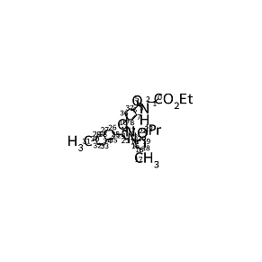 CCOC(=O)CCNC(=O)c1ccc(Oc2nn(-c3cc(C)ccc3OC(C)C)cc2-c2ccc3cc(C)ccc3c2)cc1